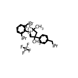 CC(C)Cc1ccc(C2(C)C=[N+](c3c(C(C)C)cccc3C(C)C)C(C)(C)C2)cc1.F[B-](F)(F)F